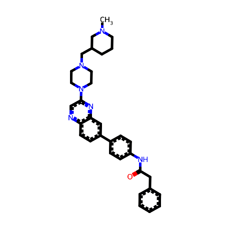 CN1CCCC(CN2CCN(c3cnc4ccc(-c5ccc(NC(=O)Cc6ccccc6)cc5)cc4n3)CC2)C1